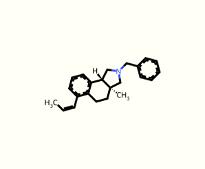 C/C=C\c1cccc2c1CC[C@]1(C)CN(Cc3ccccc3)C[C@@H]21